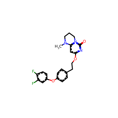 CN1CCCn2c1cc(OCCc1ccc(Oc3ccc(F)c(F)c3)cc1)nc2=O